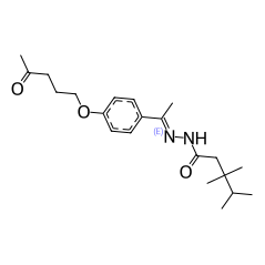 CC(=O)CCCOc1ccc(/C(C)=N/NC(=O)CC(C)(C)C(C)C)cc1